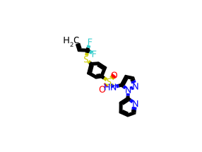 C=CC(F)(F)Sc1ccc(S(=O)(=O)Nc2ccnn2-c2ccccn2)cc1